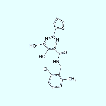 Cc1cccc(Cl)c1CNC(=O)c1nc(-c2cccs2)nc(O)c1O